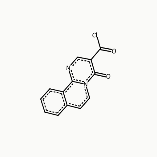 O=C(Cl)c1cnc2c3ccccc3ccn2c1=O